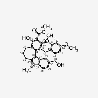 COC(=O)c1c(O)c2c(n(Cc3ccc(OC)cc3OC)c1=O)-c1c(n(C)c3ccc(CO)cc13)CCC2